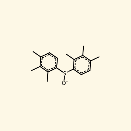 Cc1ccc([S+]([O-])c2ccc(C)c(C)c2C)c(C)c1C